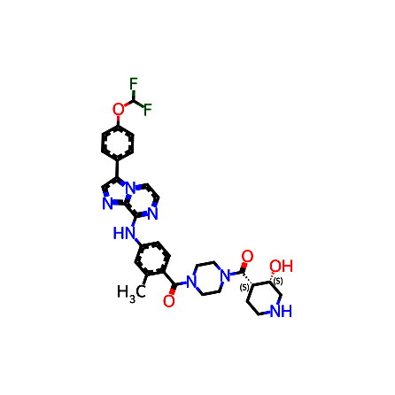 Cc1cc(Nc2nccn3c(-c4ccc(OC(F)F)cc4)cnc23)ccc1C(=O)N1CCN(C(=O)[C@H]2CCNC[C@H]2O)CC1